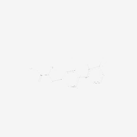 COC(=O)C(N)Cc1ccc(-c2ccnc(C)c2C)cc1.Cl.Cl